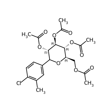 CC(=O)OC[C@H]1OC(c2ccc(Cl)c(C)c2)[C@H](OC(C)=O)[C@@H](OC(C)=O)[C@@H]1OC(C)=O